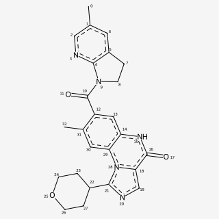 Cc1cnc2c(c1)CCN2C(=O)c1cc2[nH]c(=O)c3cnc(C4CCOCC4)n3c2cc1C